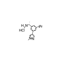 CC(C)c1cc(-c2cnn(C)c2)cc([C@@H](C)N)c1.Cl